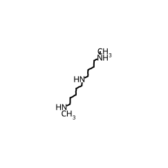 CNCCCCCNCCCCNC